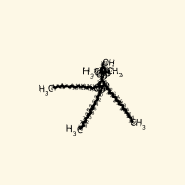 CCCCCCCCCCCCCCCCCCOC1CC(COc2c(OC)cc(CO)cc2OC)CC(OCCCCCCCCCCCCCCCCCC)C1OCCCCCCCCCCCCCCCCCC